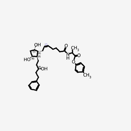 Cc1ccc(OC(=O)C(C)NC(=O)CCC/C=C\C[C@@H]2[C@@H](CC[C@@H](O)CCc3ccccc3)[C@H](O)C[C@@H]2O)cc1